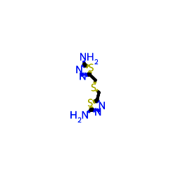 Nc1nnc(CSCc2nnc(N)s2)s1